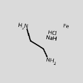 Cl.NCCN.[Fe].[NaH]